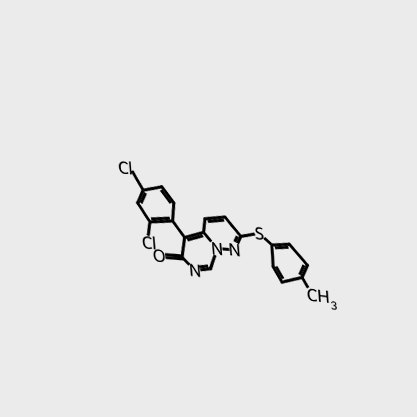 Cc1ccc(Sc2ccc3c(-c4ccc(Cl)cc4Cl)c(=O)ncn3n2)cc1